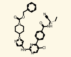 CC[C@@H](C#N)NC(=O)c1ccc(-c2nc(Nc3cnn(C4CCN(C(=O)OCc5ccccc5)CC4)c3)ncc2Cl)cc1